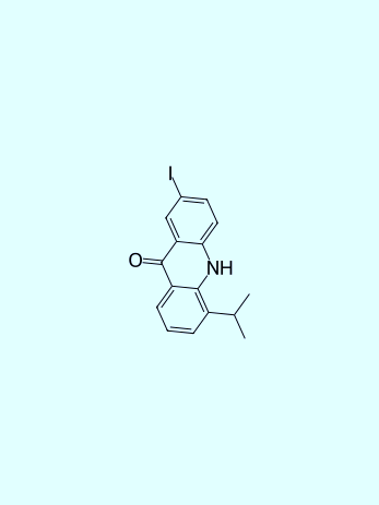 CC(C)c1cccc2c(=O)c3cc(I)ccc3[nH]c12